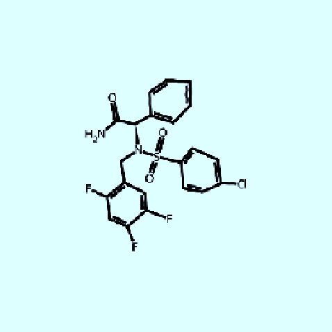 NC(=O)[C@@H](c1ccccc1)N(Cc1cc(F)c(F)cc1F)S(=O)(=O)c1ccc(Cl)cc1